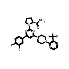 NC(=O)[C@@H]1CCCN1c1nc(-c2ccc(F)c(Cl)c2)cc(N2CCN(c3ncccc3C(F)(F)F)CC2)n1